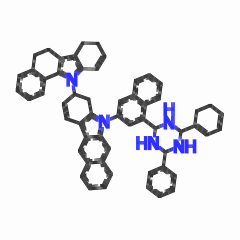 C1=CCCC(C2NC(c3ccccc3)NC(c3cc(-n4c5c(c6cc7ccccc7cc64)C=CC(n4c6c(c7c4-c4ccccc4CC7)CCC=C6)C5)cc4ccccc34)N2)=C1